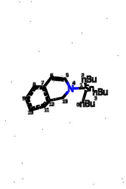 CCC[CH2][Sn]([CH2]CCC)([CH2]CCC)[N]1C=Cc2ccccc2C1